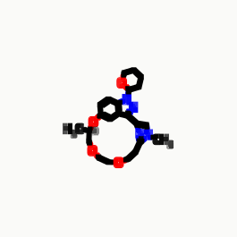 C[C@@H]1COCCOCCc2nc(cn2C)-c2nn(C3CCCCO3)c3ccc(cc23)O1